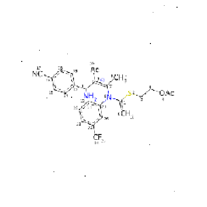 C=C(SCCOC(C)=O)N(/C(C)=C(/C(C)=O)C(N)c1ccc(C#N)cc1)c1cccc(C(F)(F)F)c1